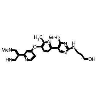 CN/C=C(\C=N)c1cc(Oc2ccc(-c3cnc(NCCCO)nc3OC)nc2C)ccn1